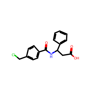 O=C(O)CC(NC(=O)c1ccc(CCl)cc1)c1ccccc1